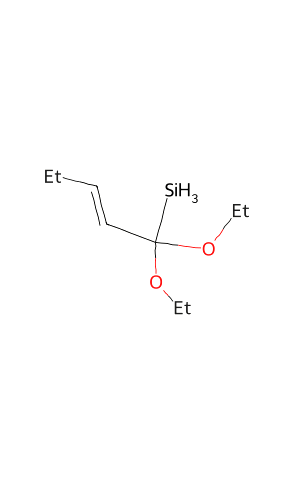 CC/C=C/C([SiH3])(OCC)OCC